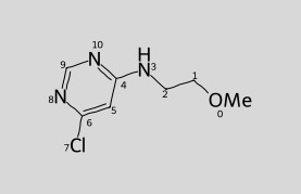 COCCNc1cc(Cl)ncn1